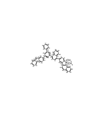 CC1(C)c2ccc(-c3ccc(-c4nc(-c5ccccc5)cc(-c5ccc6c(c5)oc5ccccc56)n4)c4ccccc34)cc2-c2ccc3ccccc3c21